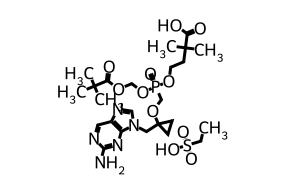 CC(C)(C)C(=O)OCOP(=O)(COC1(Cn2cnc3cnc(N)nc32)CC1)OCCC(C)(C)C(=O)O.CCS(=O)(=O)O